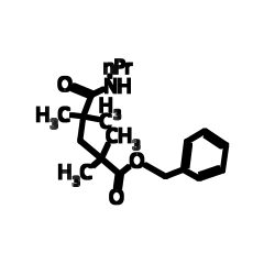 CCCNC(=O)C(C)(C)CC(C)(C)C(=O)OCc1ccccc1